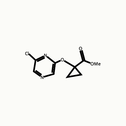 COC(=O)C1(Oc2cncc(Cl)n2)CC1